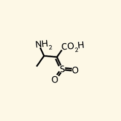 CC(N)C(C(=O)O)=S(=O)=O